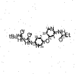 CCC(=O)Nc1cc(Oc2ccc(NC(=O)NC(=O)C(C)(C)C)nc2)ccn1